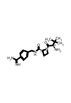 CC(C)(C)[C@@H](N)C(=O)N1CC[C@H]1C(=O)NCc1ccc(C(=N)N)cc1